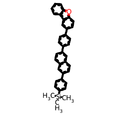 C[Si](C)(C)c1ccc(-c2ccc3cc(-c4ccc(-c5ccc6oc7ccccc7c6c5)cc4)ccc3c2)cc1